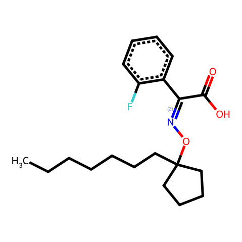 CCCCCCCC1(O/N=C(\C(=O)O)c2ccccc2F)CCCC1